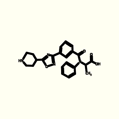 CC(C(=O)O)N(C(=O)c1cccc(-c2noc(C3CCNCC3)n2)c1)c1ccccc1